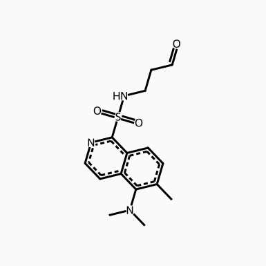 Cc1ccc2c(S(=O)(=O)NCCC=O)nccc2c1N(C)C